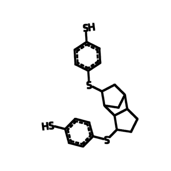 Sc1ccc(SC2CC3CC2C2C(Sc4ccc(S)cc4)CCC32)cc1